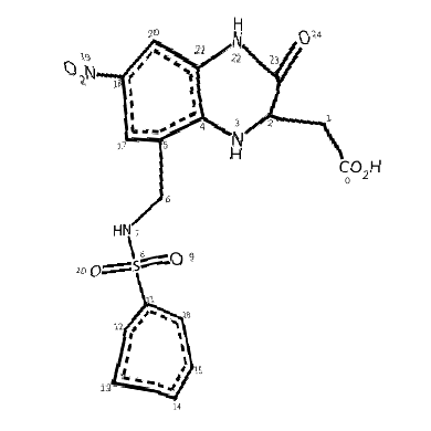 O=C(O)CC1Nc2c(CNS(=O)(=O)c3ccccc3)cc([N+](=O)[O-])cc2NC1=O